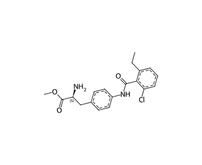 CCc1cccc(Cl)c1C(=O)Nc1ccc(C[C@H](N)C(=O)OC)cc1